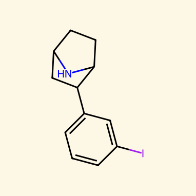 Ic1cccc(C2CC3CCC2N3)c1